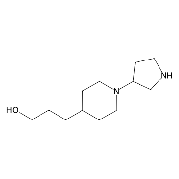 OCCCC1CCN(C2CCNC2)CC1